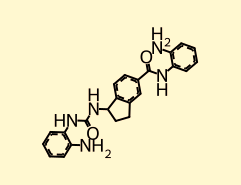 Nc1ccccc1NC(=O)NC1CCc2cc(C(=O)Nc3ccccc3N)ccc21